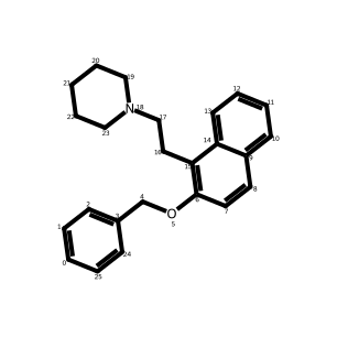 c1ccc(COc2ccc3ccccc3c2CCN2CCCCC2)cc1